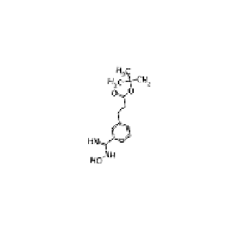 CC(C)(C)OC(=O)CCc1cccc(C(=N)NO)c1